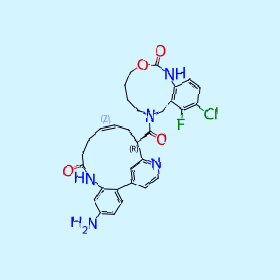 Nc1ccc2c(c1)NC(=O)CC/C=C\C[C@@H](C(=O)N1CCCCOC(=O)Nc3ccc(Cl)c(F)c3C1)c1cc-2ccn1